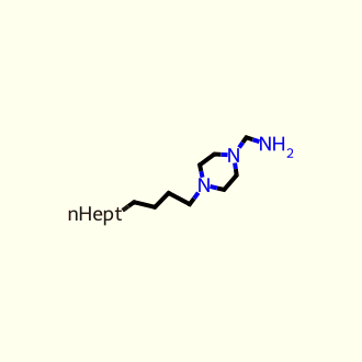 CCCCCCCCCCCN1CCN(CN)CC1